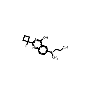 CN(CCO)c1ccc2nc(C3(F)CCC3)nc(O)c2c1